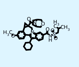 COc1ccc2c(c1)C1CC1(C(=O)N1C3CCC1COC3)Cn1c-2c(C2CCCCC2)c2ccc(C(=O)NS(=O)(=O)CC(C)C)cc21